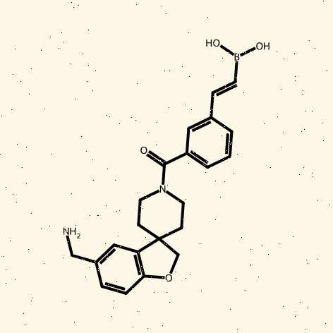 NCc1ccc2c(c1)C1(CCN(C(=O)c3cccc(C=CB(O)O)c3)CC1)CO2